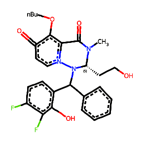 CCCCOc1c2n(ccc1=O)N(C(c1ccccc1)c1ccc(F)c(F)c1O)[C@@H](CCO)N(C)C2=O